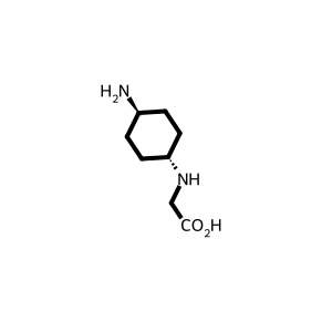 N[C@H]1CC[C@H](NCC(=O)O)CC1